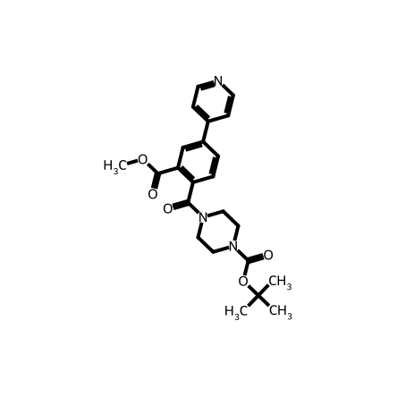 COC(=O)c1cc(-c2ccncc2)ccc1C(=O)N1CCN(C(=O)OC(C)(C)C)CC1